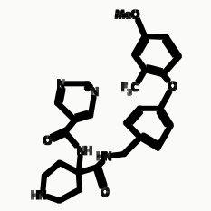 COc1ccc(Oc2ccc(CNC(=O)C3(NC(=O)c4cncnc4)CCNCC3)cc2)c(C(F)(F)F)c1